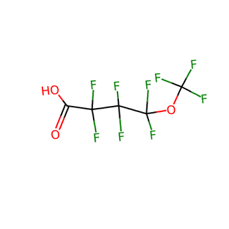 O=C(O)C(F)(F)C(F)(F)C(F)(F)OC(F)(F)F